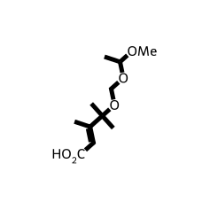 COC(C)OCOC(C)(C)C(C)=CC(=O)O